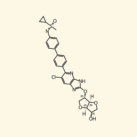 CS(=O)(=Nc1ccc(-c2ccc(-c3nc4[nH]c(O[C@@H]5CO[C@H]6[C@@H]5OC[C@H]6O)nc4cc3Cl)cc2)cc1)C1CC1